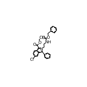 CCOC(=O)c1c2ccc(Cl)cc2c(-c2ccccc2)n1CCNC(=O)OCc1ccccc1